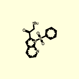 CC(C)(C)CC(=O)c1cc2cccnc2n1S(=O)(=O)c1ccccc1